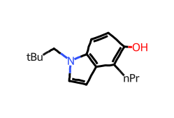 CCCc1c(O)ccc2c1ccn2CC(C)(C)C